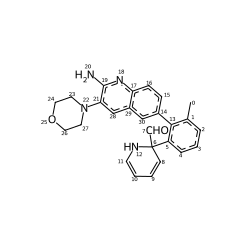 Cc1cccc(C2(C=O)C=CC=CN2)c1-c1ccc2nc(N)c(N3CCOCC3)cc2c1